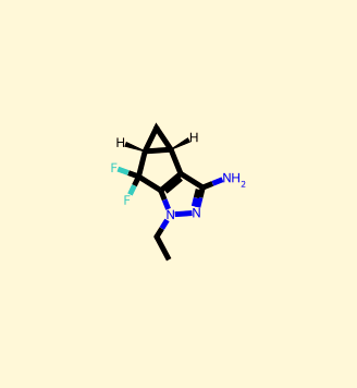 CCn1nc(N)c2c1C(F)(F)[C@@H]1C[C@H]21